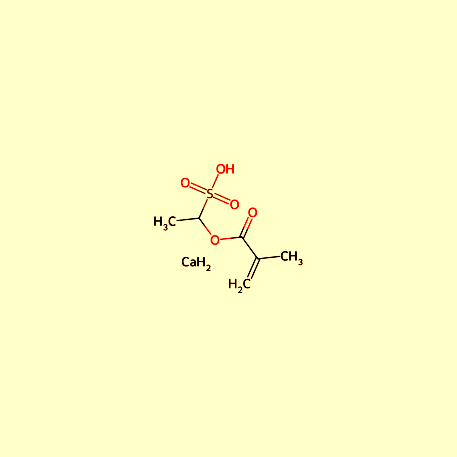 C=C(C)C(=O)OC(C)S(=O)(=O)O.[CaH2]